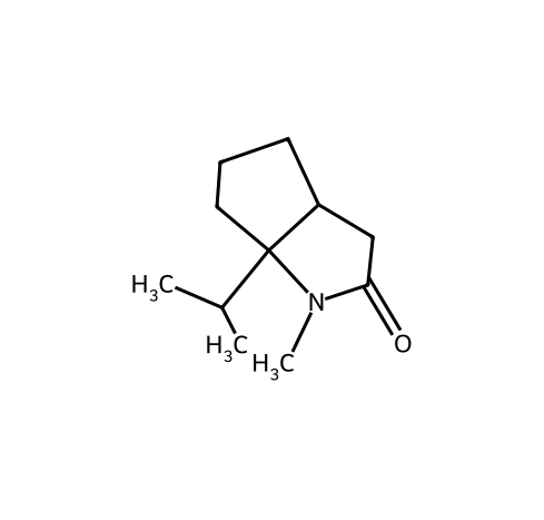 CC(C)C12CCCC1CC(=O)N2C